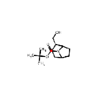 CC(C)(C)OC(=O)N1C2CCC1[C@H](CO)CC2